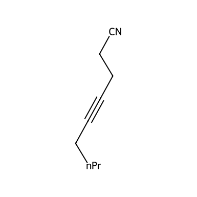 CCCCC#CCCC#N